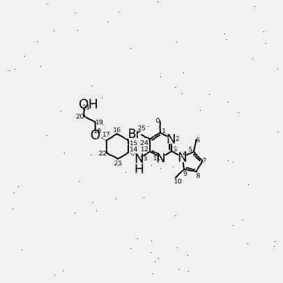 Cc1nc(-n2c(C)ccc2C)nc(N[C@H]2CC[C@@H](OCCO)CC2)c1Br